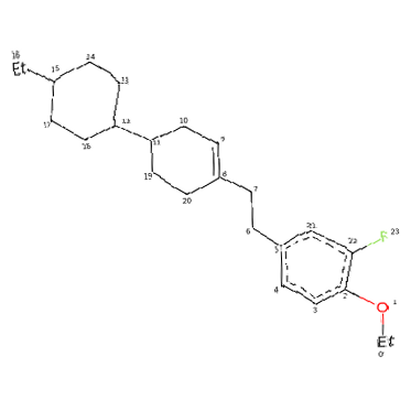 CCOc1ccc(CCC2=CCC(C3CCC(CC)CC3)CC2)cc1F